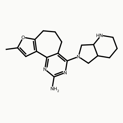 Cc1cc2c(o1)CCCc1c-2nc(N)nc1N1CC2CCCNC2C1